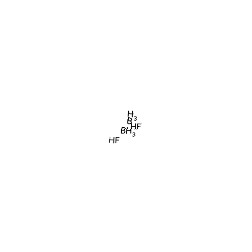 B.B.F.F